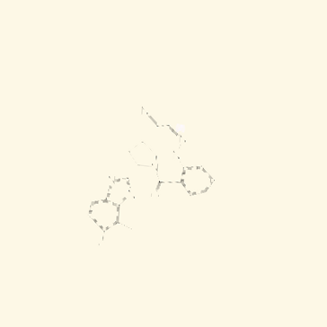 Cc1c(Cl)ccc2nc([C@@H]3CCCN3C(=O)c3ccccc3N/N=C\C=N)[nH]c12